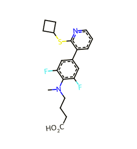 CN(CCCC(=O)O)c1c(F)cc(-c2cccnc2SC2CCC2)cc1F